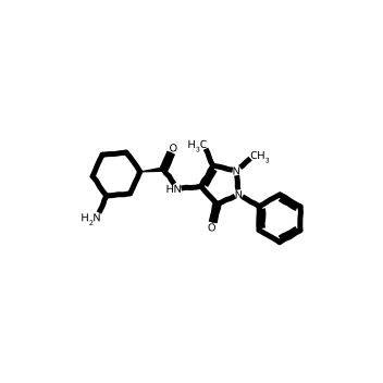 Cc1c(NC(=O)[C@@H]2CCCC(N)C2)c(=O)n(-c2ccccc2)n1C